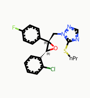 CCCSc1ncnn1C[C@@]1(c2ccc(F)cc2)O[C@@H]1c1ccccc1Cl